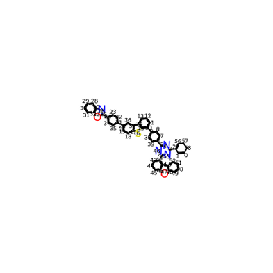 C1=CC(c2nc(-c3ccc(-c4cccc5c4sc4ccc(-c6ccc(-c7nc8ccccc8o7)cc6)cc45)cc3)nc(-c3cccc4oc5ccccc5c34)n2)=CCC1